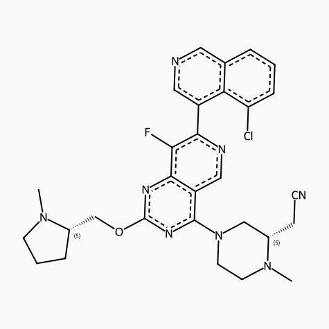 CN1CCC[C@H]1COc1nc(N2CCN(C)[C@@H](CC#N)C2)c2cnc(-c3cncc4cccc(Cl)c34)c(F)c2n1